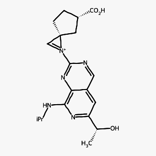 CC(C)Nc1nc([C@@H](C)O)cc2cnc([N+]3=C[C@]34CC[C@H](C(=O)O)C4)nc12